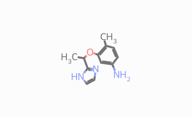 Cc1ccc(N)cc1OC(C)c1ncc[nH]1